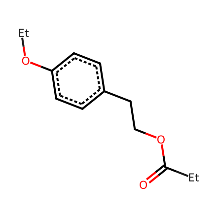 CCOc1ccc(CCOC(=O)CC)cc1